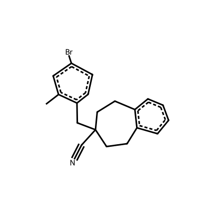 Cc1cc(Br)ccc1CC1(C#N)CCc2ccccc2CC1